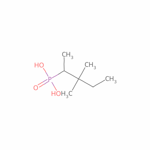 CCC(C)(C)C(C)P(=O)(O)O